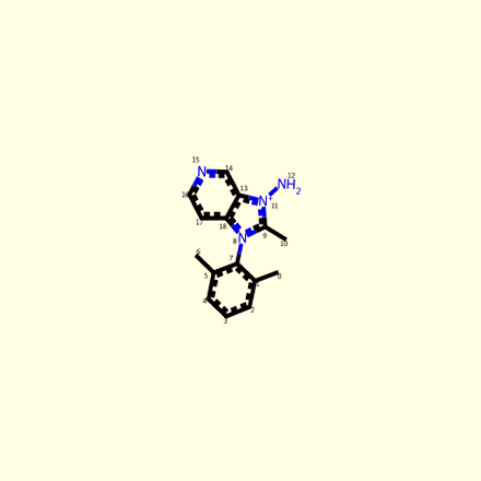 Cc1cccc(C)c1-n1c(C)[n+](N)c2cnccc21